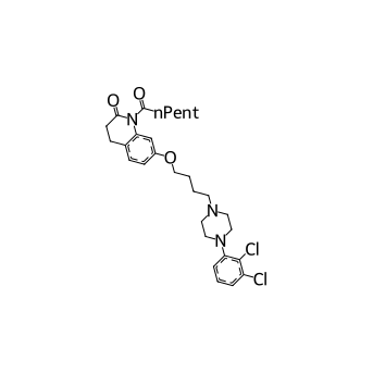 CCCCCC(=O)N1C(=O)CCc2ccc(OCCCCN3CCN(c4cccc(Cl)c4Cl)CC3)cc21